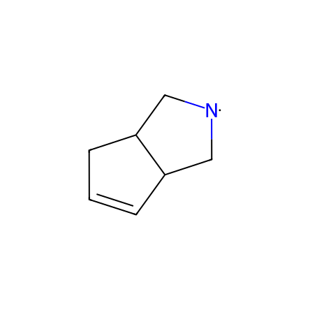 C1=CC2C[N]CC2C1